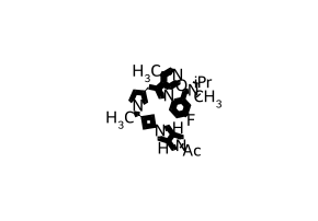 CC(=O)N1C[C@@H]2CN([C@H]3C[C@@H](C(C)N4CC[C@H](Cc5cn(-c6ccc(F)cc6C(=O)N(C)C(C)C)c6cncc(C)c56)C4)C3)C[C@H]2C1